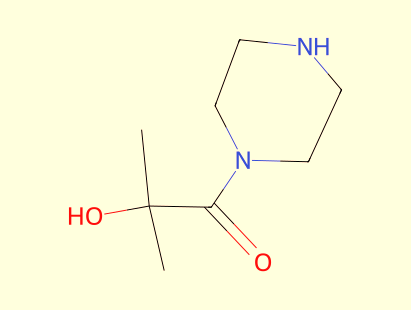 CC(C)(O)C(=O)N1CCNCC1